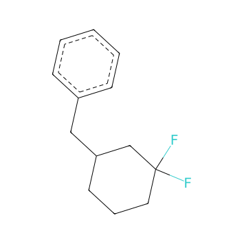 FC1(F)CCCC(Cc2ccccc2)C1